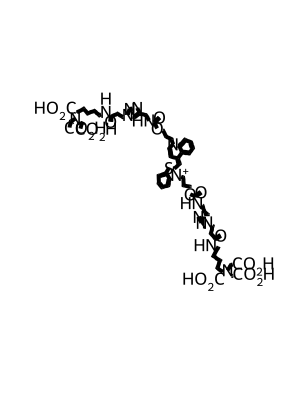 O=C(O)CN(CC(=O)O)C(CCCCNC(=O)CCn1cc(CNC(=O)OCCCN2C=C/C(=C\c3sc4ccccc4[n+]3CCCOC(=O)NCc3cn(CCC(=O)NCCCCC(C(=O)O)N(CC(=O)O)CC(=O)O)nn3)c3ccccc32)nn1)C(=O)O